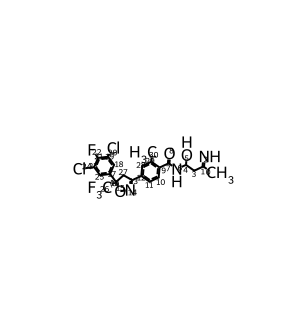 CC(=N)CC(O)NC(=O)c1ccc(C2=NO[C@@](c3cc(Cl)c(F)c(Cl)c3)(C(F)(F)F)C2)cc1C